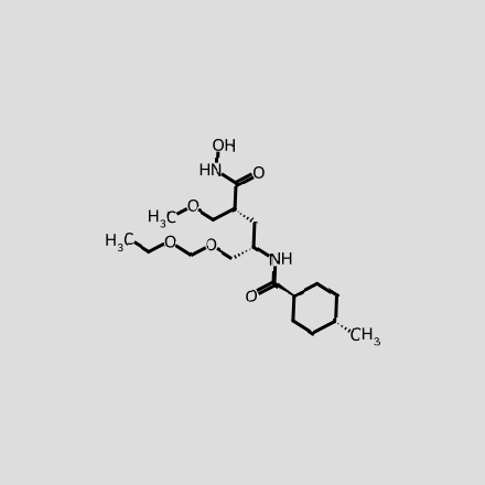 CCOCOC[C@H](C[C@H](COC)C(=O)NO)NC(=O)[C@H]1CC[C@H](C)CC1